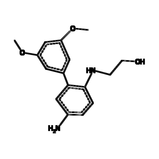 COc1cc(OC)cc(-c2cc(N)ccc2NCCO)c1